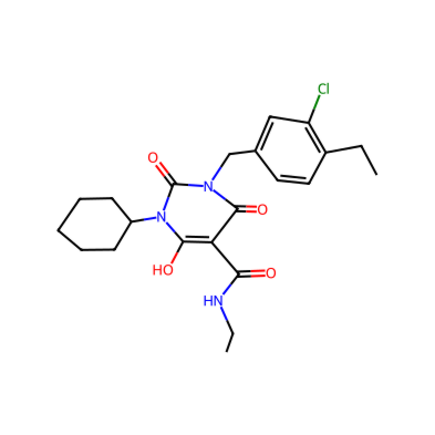 CCNC(=O)c1c(O)n(C2CCCCC2)c(=O)n(Cc2ccc(CC)c(Cl)c2)c1=O